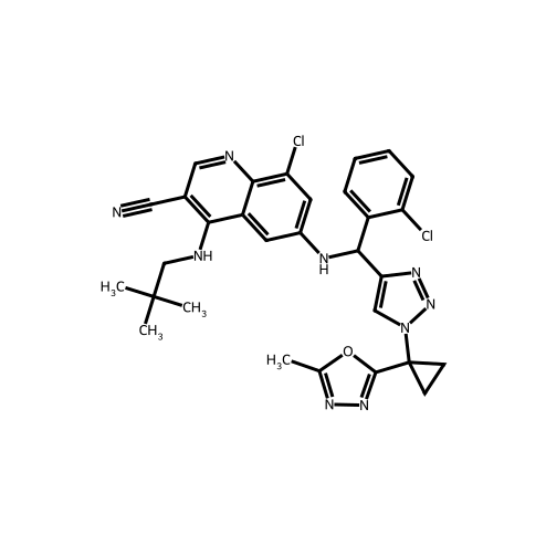 Cc1nnc(C2(n3cc(C(Nc4cc(Cl)c5ncc(C#N)c(NCC(C)(C)C)c5c4)c4ccccc4Cl)nn3)CC2)o1